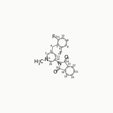 C[n+]1cc(Cc2c(F)cccc2F)cc(N2C(=O)c3ccccc3C2=O)c1